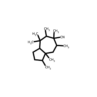 CC1CC2(C)C(C)CCC2C(C)(C)C(C)C1(C)C#N